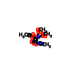 Cc1ccc(S(=O)(=O)Oc2cc([N+](=O)[O-])c(C(=O)N3CCN(C)CC3)cc2N(CCOS(C)(=O)=O)CCOS(C)(=O)=O)cc1